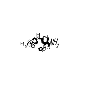 CS(=O)(=O)N1CCC(Nc2cc(NC3CCCC3)c(C(N)=O)cn2)CC1